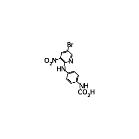 O=C(O)Nc1ccc(Nc2ncc(Br)cc2[N+](=O)[O-])cc1